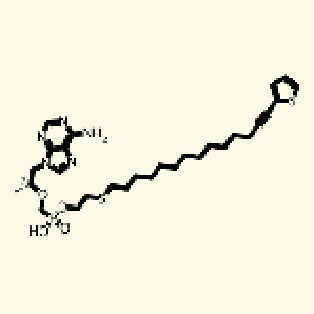 C[C@H](Cn1cnc2c(N)ncnc21)OCP(=O)(O)OCCSCCCCCCCCCCCCC#Cc1cccs1